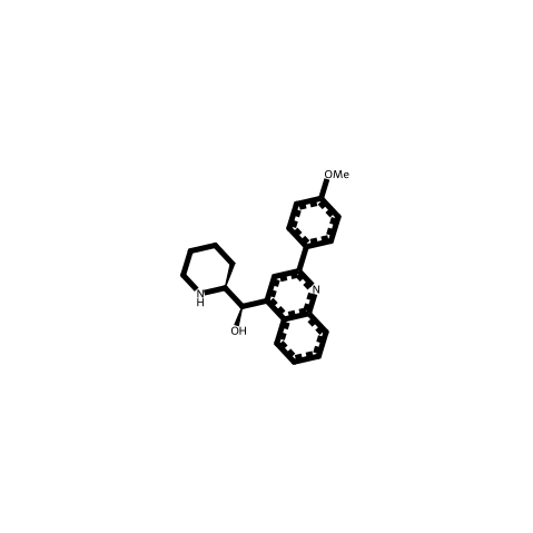 COc1ccc(-c2cc([C@@H](O)[C@@H]3CCCCN3)c3ccccc3n2)cc1